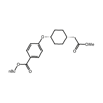 CCCCOC(=O)c1ccc(O[C@H]2CC[C@@H](CC(=O)OC)CC2)cc1